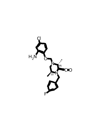 C[C@@H]1C(=C=O)N(Cc2ccc(F)cc2)[C@@H](C)CN1COc1ccc(Cl)cc1N